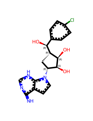 N=c1nc[nH]c2c1ccn2[C@@H]1C[C@H]([C@@H](O)c2ccc(Cl)cc2)[C@@H](O)[C@H]1O